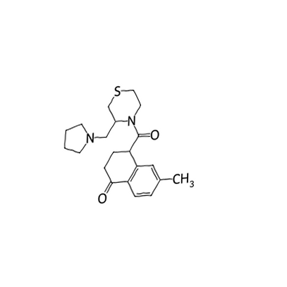 Cc1ccc2c(c1)C(C(=O)N1CCSCC1CN1CCCC1)CCC2=O